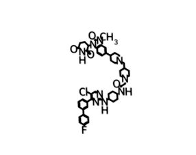 Cn1c(=O)n(C2CCC(=O)NC2=O)c2ccc(C3CCN(CC4CCN(CC(=O)N[C@H]5CC[C@H](Nc6ncc(Cl)c(-c7cccc(-c8ccc(F)cc8)c7)n6)CC5)CC4)CC3)cc21